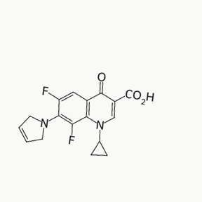 O=C(O)c1cn(C2CC2)c2c(F)c(N3CC=CC3)c(F)cc2c1=O